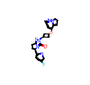 O=c1n(C2CC(Oc3ccnn4cccc34)C2)nc2n1C(c1ccc(F)cn1)CC2